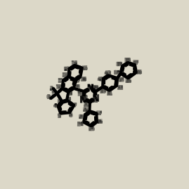 CC1(C)c2ccccc2-c2c1cc1ccccc1c2-c1nc(-c2ccccc2)nc(-c2ccc(-c3ccccc3)cc2)n1